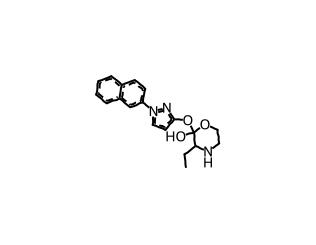 CCC1NCCOC1(O)Oc1ccn(-c2ccc3ccccc3c2)n1